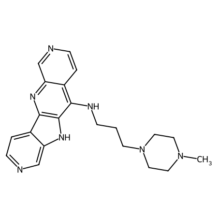 CN1CCN(CCCNc2c3ccncc3nc3c2[nH]c2cnccc23)CC1